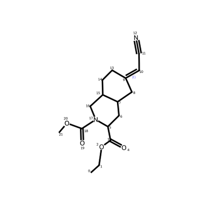 CCOC(=O)C1CC2C/C(=C/C#N)CCC2CN1C(=O)OC